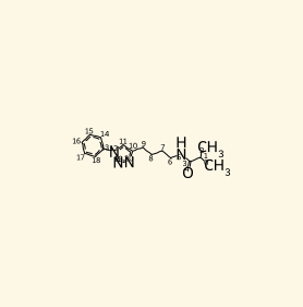 CC(C)C(=O)NCCCCc1cn(-c2ccccc2)nn1